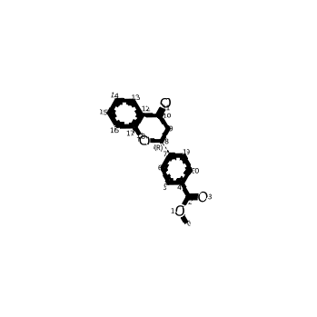 COC(=O)c1ccc([C@H]2CC(=O)c3ccccc3O2)cc1